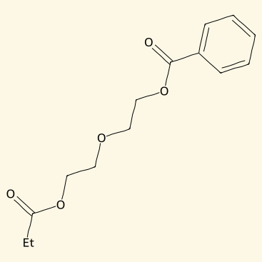 CCC(=O)OCCOCCOC(=O)c1ccccc1